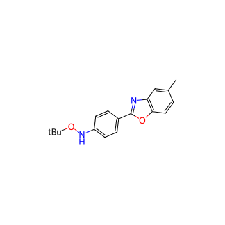 Cc1ccc2oc(-c3ccc(NOC(C)(C)C)cc3)nc2c1